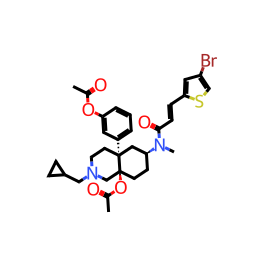 CC(=O)Oc1cccc([C@@]23CCN(CC4CC4)C[C@@]2(OC(C)=O)CC[C@H](N(C)C(=O)/C=C/c2cc(Br)cs2)C3)c1